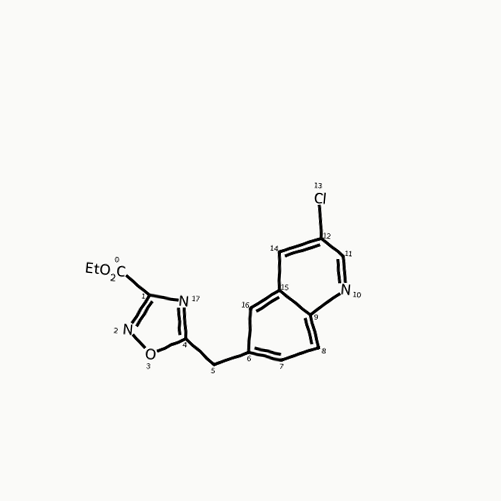 CCOC(=O)c1noc(Cc2ccc3ncc(Cl)cc3c2)n1